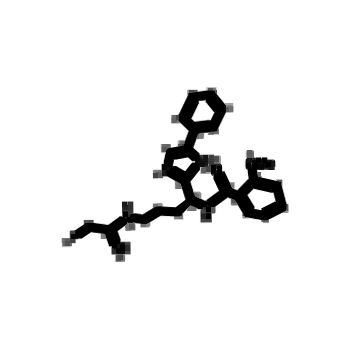 COc1ccccc1C(=O)N[C@@H](CCCNC(=N)CF)c1ncc(-c2ccccc2)[nH]1